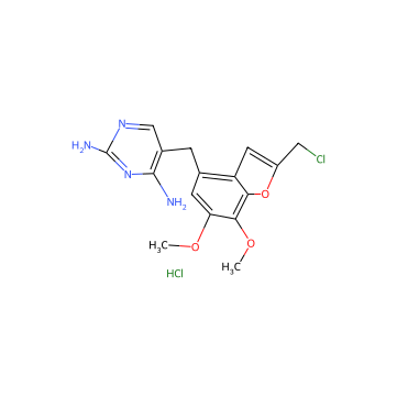 COc1cc(Cc2cnc(N)nc2N)c2cc(CCl)oc2c1OC.Cl